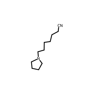 N#CCCCCCCN1CCCC1